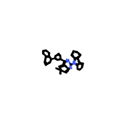 CC1(C)C=c2nc(-n3c4ccccc4c4ccccc43)nc(-c3cccc(-c4cccc5ccccc45)c3)c2=C1